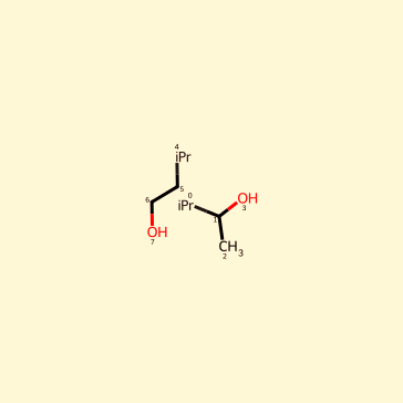 CC(C)C(C)O.CC(C)CCO